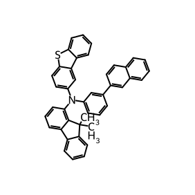 CC1(C)c2ccccc2-c2cccc(N(c3cccc(-c4ccc5ccccc5c4)c3)c3ccc4sc5ccccc5c4c3)c21